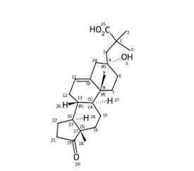 CC(C)(C[C@@]1(O)CC[C@@]2(C)C(=CC[C@@H]3[C@@H]2CC[C@]2(C)C(=O)CC[C@@H]32)C1)C(=O)O